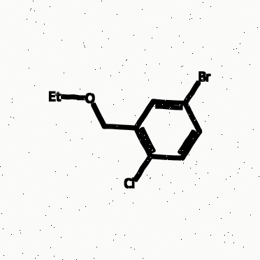 CCOCc1cc(Br)ccc1Cl